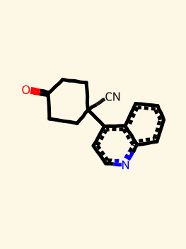 N#CC1(c2ccnc3ccccc23)CCC(=O)CC1